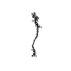 CC1(C)C(NC(=O)c2ccc(OCCOCCOCCOCCOCCOCCOCCNS(=O)(=O)c3ccc(Nc4ncc(Br)c(Nc5cccc(F)c5C(N)=O)n4)cc3)cc2)C(C)(C)C1Oc1ccc(C#N)c(Cl)c1